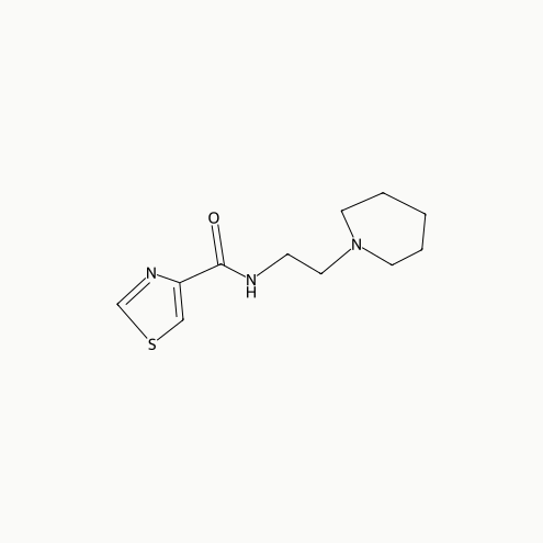 O=C(NCCN1CCCCC1)c1cscn1